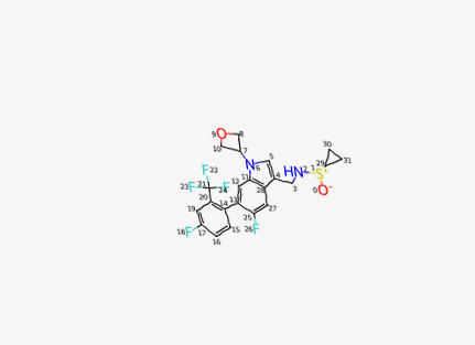 [O-][S+](NCc1cn(C2COC2)c2cc(-c3ccc(F)cc3C(F)(F)F)c(F)cc12)C1CC1